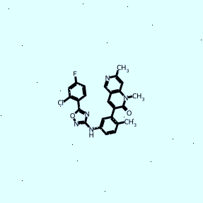 Cc1cc2c(cn1)cc(-c1cc(Nc3noc(-c4ccc(F)cc4Cl)n3)ccc1C)c(=O)n2C